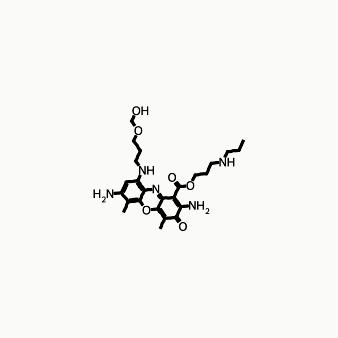 CCCNCCCOC(=O)c1c2nc3c(NCCCOCO)cc(N)c(C)c3oc-2c(C)c(=O)c1N